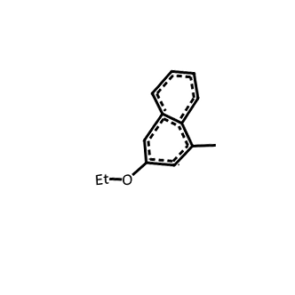 CCOc1[c]c(C)c2ccccc2c1